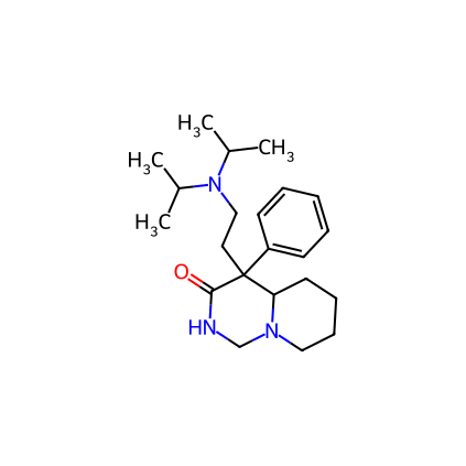 CC(C)N(CCC1(c2ccccc2)C(=O)NCN2CCCCC21)C(C)C